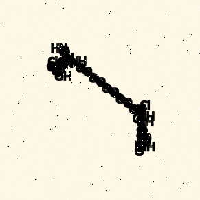 O=C1CCC(N2Cc3cc(CNC(=O)Nc4cc(Cl)cc(OCCOCCOCCOCCOCCOCCOCCOCCOCCNc5nc(N6CCNCC6)c6cc(Cl)c(-c7cc(O)cc8ccccc78)c(F)c6n5)c4)ccc3C2=O)C(=O)N1